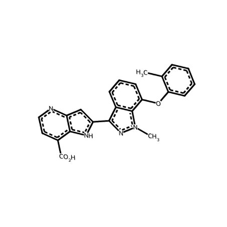 Cc1ccccc1Oc1cccc2c(-c3cc4nccc(C(=O)O)c4[nH]3)nn(C)c12